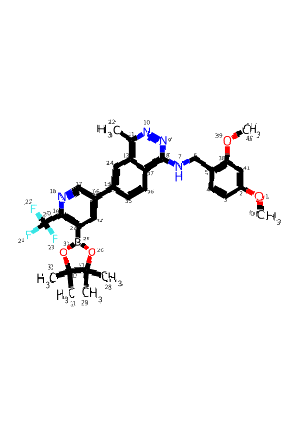 COc1ccc(CNc2nnc(C)c3cc(-c4cnc(C(F)(F)F)c(B5OC(C)(C)C(C)(C)O5)c4)ccc23)c(OC)c1